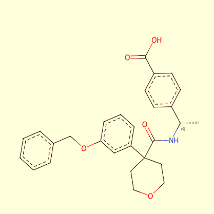 C[C@H](NC(=O)C1(c2cccc(OCc3ccccc3)c2)CCOCC1)c1ccc(C(=O)O)cc1